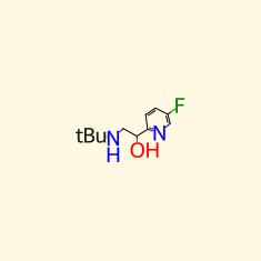 CC(C)(C)NCC(O)c1ccc(F)cn1